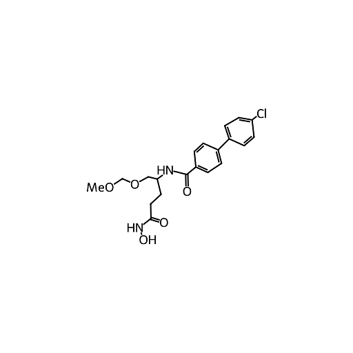 COCOCC(CCC(=O)NO)NC(=O)c1ccc(-c2ccc(Cl)cc2)cc1